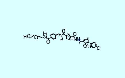 C/C(=N\NC(=O)c1ccc(C(=O)NCc2ccc(C(=O)NCCOCCO)cc2)s1)c1csc(-c2ccc(Cl)cc2)c1O